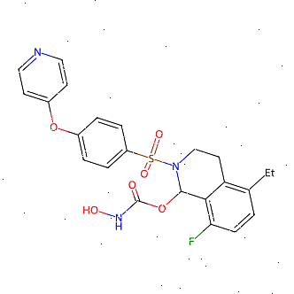 CCc1ccc(F)c2c1CCN(S(=O)(=O)c1ccc(Oc3ccncc3)cc1)C2OC(=O)NO